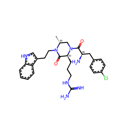 C[C@@H]1CN(C(=O)[C@H](N)Cc2ccc(Cl)cc2)[C@@H](CCCNC(=N)N)C(=O)N1CCc1c[nH]c2ccccc12